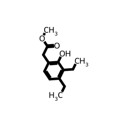 CCc1ccc(CC(=O)OC)c(O)c1CC